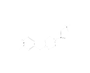 C=C(CC(C)(C)F)N1CCN(Cc2ccnc(C)c2)CC1